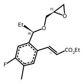 CCOC(=O)/C=C/c1cc(C)c(F)cc1[C@@H](CC)OC[C@H]1CO1